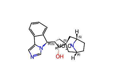 O=C(O)N1[C@@H]2CC[C@H]1C[C@@]1(C[C@@H]([C@@H]3c4ccccc4-c4cncn43)[C@H]1O)C2